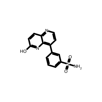 NS(=O)(=O)c1cccc(-c2ccnc3ccc(O)nc23)c1